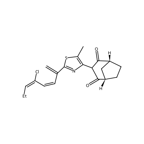 C=C(/C=C\C(Cl)=C/CC)c1nc(C2C(=O)[C@@H]3CC[C@@H](C3)C2=O)c(C)s1